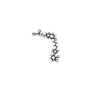 CC(C)(C)C(=O)OCOc1ccc2ccc(OCCCCN3CCN(c4cccc(Cl)c4Cl)CC3)cc2n1